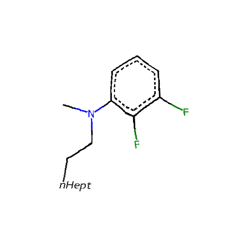 CCCCCCCCCN(C)c1cccc(F)c1F